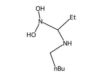 CCCCCNC(CC)N(O)O